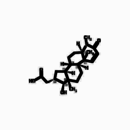 CN1C(=O)C=C[C@]2(C)[C@H]3CC[C@]4(C)[C@@H](O)[C@H](CC(=O)O)C[C@H]4[C@@H]3CC[C@@H]12